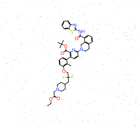 CCOC(=O)CN1CCC(CC(F)(F)COc2cccc(-c3ccc(N4CCc5cccc(C(=O)Nc6nc7ccccc7s6)c5C4)nc3C(=O)OC(C)(C)C)c2C)CC1